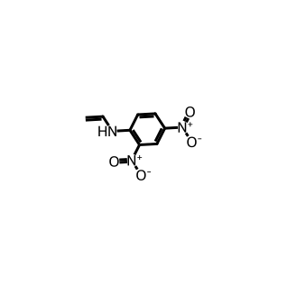 C=CNc1ccc([N+](=O)[O-])cc1[N+](=O)[O-]